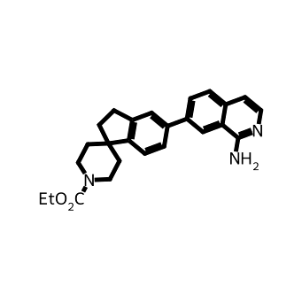 CCOC(=O)N1CCC2(CCc3cc(-c4ccc5ccnc(N)c5c4)ccc32)CC1